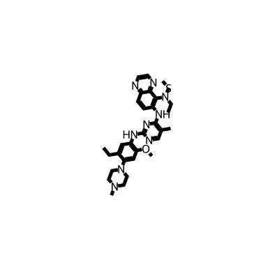 CCc1cc(Nc2ncc(C)c(Nc3ccc4nccnc4c3N(CC)SC)n2)c(OC)cc1N1CCN(C)CC1